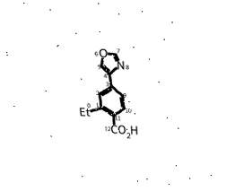 CCc1cc(-c2cocn2)ccc1C(=O)O